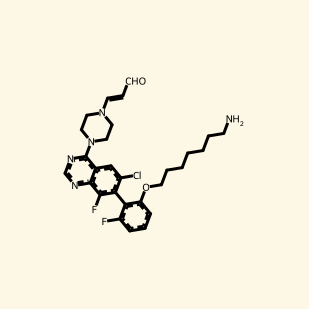 NCCCCCCCOc1cccc(F)c1-c1c(Cl)cc2c(N3CCN(C=CC=O)CC3)ncnc2c1F